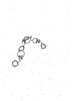 ON=C(CCC1CCN(Cc2ccccc2)CC1)c1ccc2c(c1)CCN(Cc1ccccc1)CC2